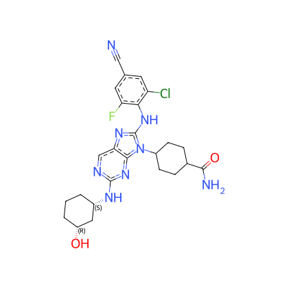 N#Cc1cc(F)c(Nc2nc3cnc(N[C@H]4CCC[C@@H](O)C4)nc3n2C2CCC(C(N)=O)CC2)c(Cl)c1